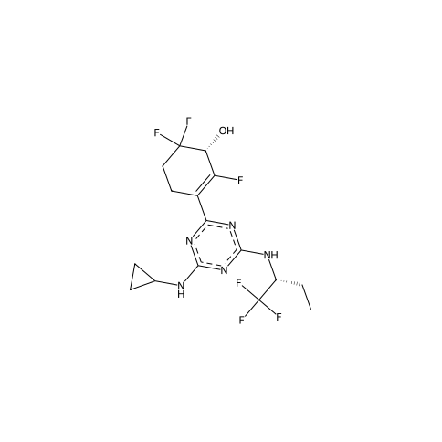 CC[C@@H](Nc1nc(NC2CC2)nc(C2=C(F)[C@@H](O)C(F)(F)CC2)n1)C(F)(F)F